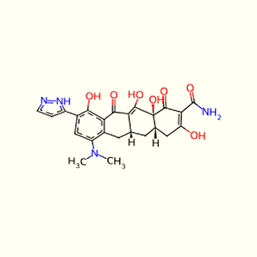 CN(C)c1cc(-c2ccn[nH]2)c(O)c2c1C[C@H]1C[C@H]3CC(O)=C(C(N)=O)C(=O)[C@@]3(O)C(O)=C1C2=O